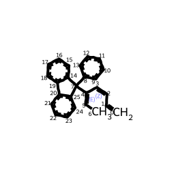 C=C/C=C\C(=C/C)C1(c2ccccc2)c2ccccc2-c2ccccc21